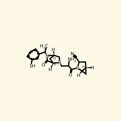 CC(c1cccc(S)c1)N1C(=O)[C@@H]2C[C@H]1CN2CC(N)C(=O)N1C(C#N)C[C@@H]2C[C@@H]21